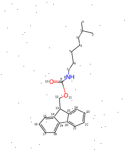 CC(C)CCCCCNC(=O)OCC1c2ccccc2-c2ccccc21